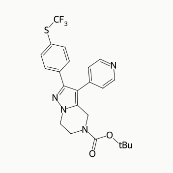 CC(C)(C)OC(=O)N1CCn2nc(-c3ccc(SC(F)(F)F)cc3)c(-c3ccncc3)c2C1